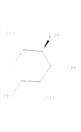 C[C@H]1[C@H]([SiH3])[C@H](O)C(O)O[C@@H]1C